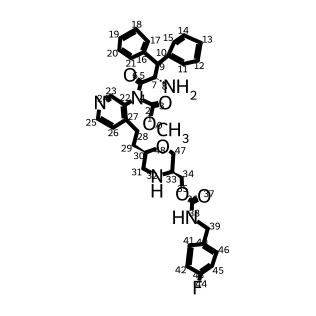 COC(=O)N(C(=O)[C@@H](N)C(c1ccccc1)c1ccccc1)c1cnccc1CC[C@@H]1CN[C@H](COC(=O)NCc2ccc(F)cc2)CO1